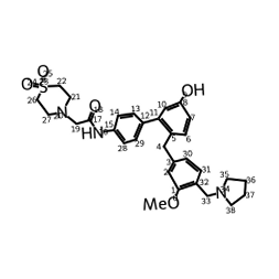 COc1cc(Cc2ccc(O)cc2-c2ccc(NC(=O)CN3CCS(=O)(=O)CC3)cc2)ccc1CN1CCCC1